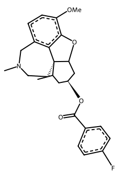 COc1ccc2c3c1OC1C[C@@H](OC(=O)c4ccc(F)cc4)CC(C)[C@@]31CCN(C)C2